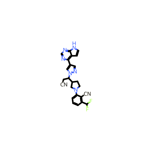 N#CCC(C1CCN(c2cccc(C(F)F)c2C#N)C1)n1cc(-c2ncnc3[nH]ccc23)cn1